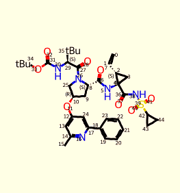 C=C[C@@H]1C[C@]1(NC(=O)[C@@H]1C[C@@H](Oc2cc(C)nc(-c3ccccc3)c2)CN1C(=O)[C@@H](NC(=O)OC(C)(C)C)C(C)(C)C)C(=O)NS(=O)(=O)C1CC1